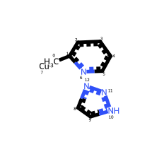 Cc1ccccn1.[Cu].c1c[nH]nn1